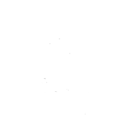 COc1c(N2CC3CCCCC3(N)C2)c(F)cc2c(=O)c(C(=O)O)cn([C@@H]3C[C@@H]3F)c12